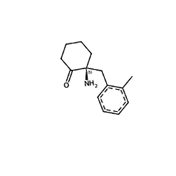 Cc1ccccc1C[C@@]1(N)CCCCC1=O